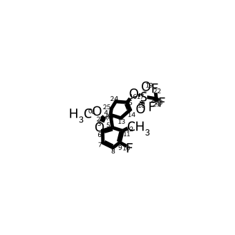 COC(=O)[C@@]1(c2cccc(F)c2C)CC=C(OS(=O)(=O)C(F)(F)F)CC1